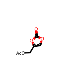 CC(=O)OCc1coc(=O)o1